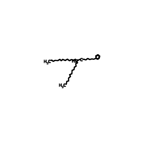 CCCCCCCCCCCCCC[SiH](CCCCCCCCCCCCCC)CCCCCCCCc1ccccc1